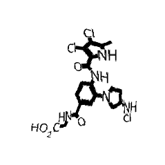 Cc1[nH]c(C(=O)Nc2ccc(C(=O)NCC(=O)O)cc2N2CC[C@@H](NCl)C2)c(Cl)c1Cl